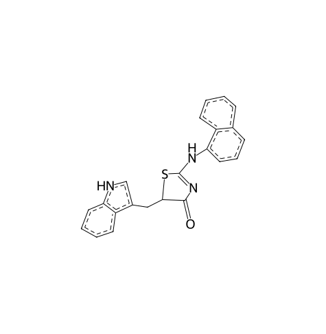 O=C1N=C(Nc2cccc3ccccc23)SC1Cc1c[nH]c2ccccc12